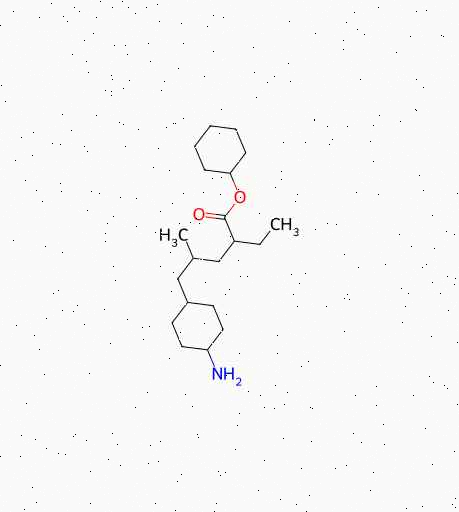 CCC(CC(C)CC1CCC(N)CC1)C(=O)OC1CCCCC1